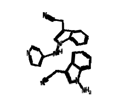 N#CCc1cn(N)c2ccccc12.N#CCc1cn(Nc2ccncc2)c2ccccc12